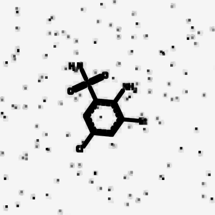 CCc1cc(Cl)cc(S(N)(=O)=O)c1N